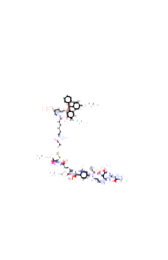 COC(=O)[C@@H](CSSCCC(=O)NCCCCCC(=O)N1C[C@H](O)C[C@H]1COC(c1ccccc1)(c1ccc(OC)cc1)c1ccc(OC)cc1)NC(=O)CC[C@@H](NC(=O)c1ccc(N(Cc2cnc3nc(NC(=O)C(C)C)[nH]c(=O)c3n2)C(=O)C(F)(F)F)cc1)C(=O)OC